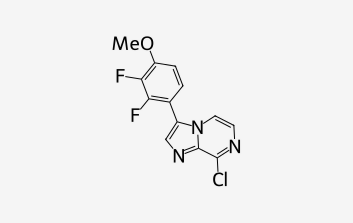 COc1ccc(-c2cnc3c(Cl)nccn23)c(F)c1F